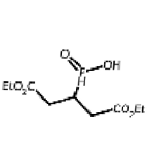 CCOC(=O)CC(CC(=O)OCC)[PH](=O)O